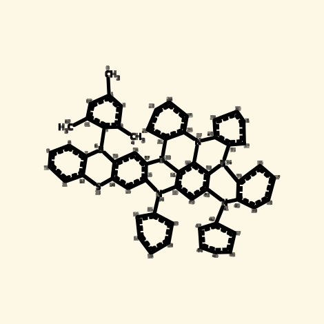 Cc1cc(C)c(B2c3ccccc3Sc3cc4c(cc32)B2c3ccccc3N3c5ccccc5B5c6ccccc6N(c6ccccc6)c6cc(c2c3c65)N4c2ccccc2)c(C)c1